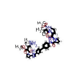 COC(=O)N[C@H](C(=O)N1CCCC1C(=O)N1CCCC1C(=O)Nc1ccc(-c2ccc(-c3cnc(C4CCCN4C(=O)C(C(=O)OC)C(C)CN)[nH]3)cc2)cc1)C(C)C